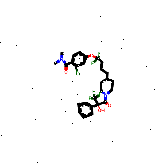 CN(C)C(=O)c1ccc(OC(F)(F)CCCC2CCN(C(=O)[C@@](O)(c3ccccc3)C(F)(F)F)CC2)cc1Cl